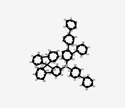 c1ccc(-c2ccc(-c3ccc(N(c4ccc(-c5ccccc5)cc4)c4ccc5c(c4)C4(c6ccccc6-c6ccccc64)c4ccccc4-5)cc3-c3ccccc3)cc2)cc1